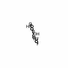 O=C1CCc2cc(OC[C@@H](O)CN3CCN(c4ccc(F)cc4F)CC3)ccc2N1